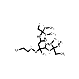 CCCNOC(C)(CC(C)PC(CC)(OC)OC)C(C)PC(CC)(OC)OC